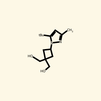 Cc1cc(C(C)(C)C)n(C2CC(CO)(CO)C2)n1